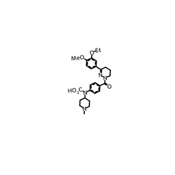 CCOc1cc(C2=NN(C(=O)c3ccc(N(C(=O)O)C4CCN(C)CC4)cc3)CCC2)ccc1OC